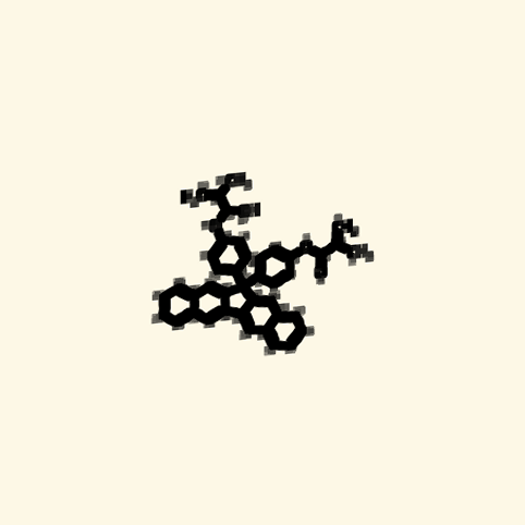 C=C(C)C(=O)Oc1ccc(C2(c3ccc(OC(O)C(=C)C)cc3)c3cc4ccccc4cc3-c3cc4ccccc4cc32)cc1